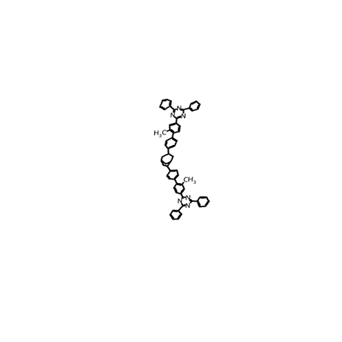 Cc1cc(-c2nc(-c3ccccc3)nc(-c3ccccc3)n2)ccc1-c1ccc(C2CC3CC(C2)C(c2ccc(-c4ccc(-c5nc(-c6ccccc6)nc(-c6ccccc6)n5)cc4C)cc2)C3)cc1